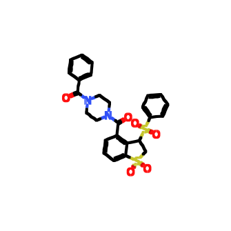 O=C(c1ccccc1)N1CCN(C(=O)c2cccc3c2C(S(=O)(=O)c2ccccc2)CS3(=O)=O)CC1